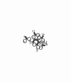 CO[C@@H]1O[C@H](COC(C)=O)[C@H](OC(C)=O)[C@H](OC(C)=O)[C@H]1NC(C)=O